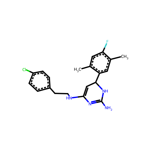 Cc1cc(C2C=C(NCCc3ccc(Cl)cc3)N=C(N)N2)c(C)cc1F